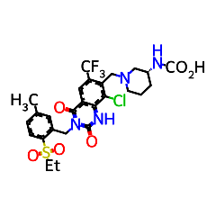 CCS(=O)(=O)c1ccc(C)cc1Cn1c(=O)[nH]c2c(Cl)c(CN3CCC[C@@H](NC(=O)O)C3)c(C(F)(F)F)cc2c1=O